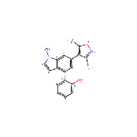 Cc1noc(C)c1-c1cc(-c2ccccc2O)c2ccn(C)c2c1